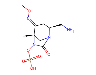 CON=C1C[C@@H](CN)N2C[C@@H]1N(OS(=O)(=O)O)C2=O